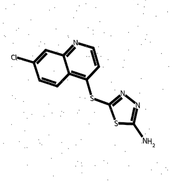 Nc1nnc(Sc2ccnc3cc(Cl)ccc23)s1